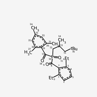 CCc1cccc(CC)c1C(=O)P(=O)(CC(C)CC(C)(C)C)C(=O)c1c(C)cc(C)cc1C